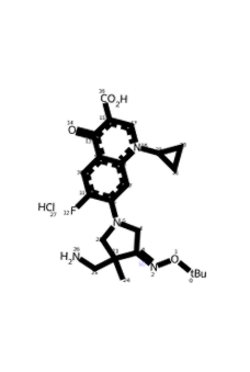 CC(C)(C)O/N=C1\CN(c2cc3c(cc2F)c(=O)c(C(=O)O)cn3C2CC2)CC1(C)CN.Cl